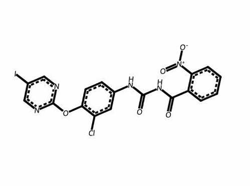 O=C(NC(=O)c1ccccc1[N+](=O)[O-])Nc1ccc(Oc2ncc(I)cn2)c(Cl)c1